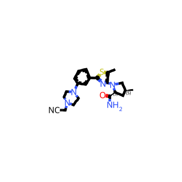 Cc1sc(-c2cccc(N3CCN(CC#N)CC3)c2)nc1N1C[C@@H](C)C[C@H]1C(N)=O